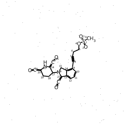 CS(=O)(=O)OCCC#Cc1cccc2c1CN(C1CCC(=C=O)NC1=C=O)C2=C=O